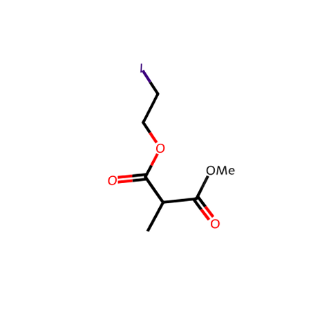 COC(=O)C(C)C(=O)OCCI